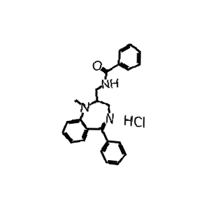 CN1c2ccccc2C(c2ccccc2)=NCC1CNC(=O)c1ccccc1.Cl